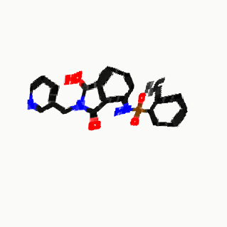 O=C1c2c(NS(=O)(=O)c3ccccc3C(F)(F)F)cccc2C(O)N1Cc1cccnc1